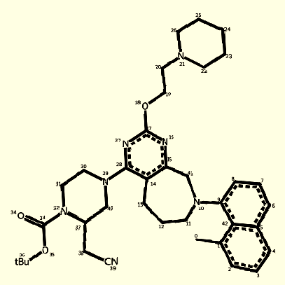 Cc1cccc2cccc(N3CCCc4c(nc(OCCN5CCCCC5)nc4N4CCN(C(=O)OC(C)(C)C)C(CC#N)C4)C3)c12